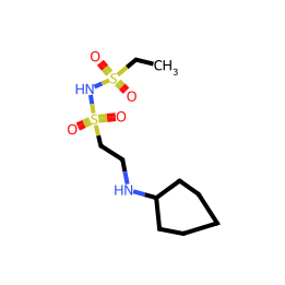 CCS(=O)(=O)NS(=O)(=O)CCNC1CCCCC1